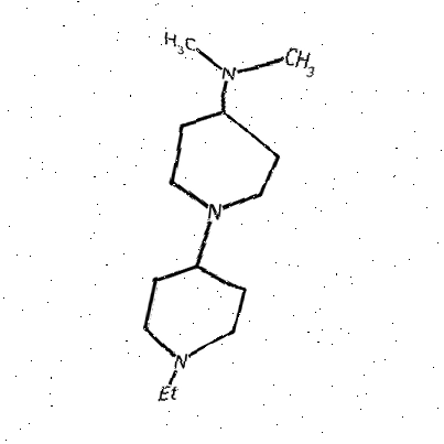 CCN1CCC(N2CCC(N(C)C)CC2)CC1